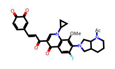 COc1c(N2CC3CCCN(C(C)=O)C3C2)c(F)cc2c(=O)c(C(=O)C=CC3=CC(=O)C(=O)C=C3)cn(C3CC3)c12